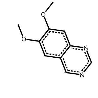 COc1cc2[c]ncnc2cc1OC